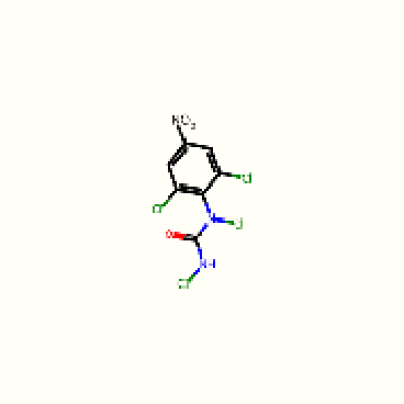 O=C(NCl)N(Cl)c1c(Cl)cc([N+](=O)[O-])cc1Cl